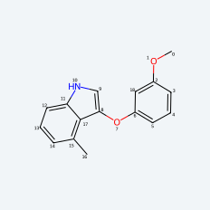 COc1cccc(Oc2c[nH]c3cccc(C)c23)c1